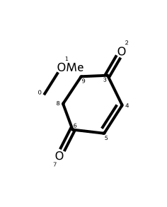 COC.O=C1C=CC(=O)CC1